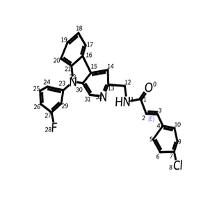 O=C(/C=C/c1ccc(Cl)cc1)NCc1cc2c3ccccc3n(-c3cccc(F)c3)c2cn1